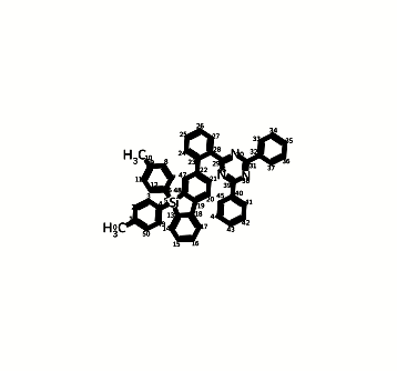 Cc1ccc([Si]2(c3ccc(C)cc3)c3ccccc3-c3ccc(-c4ccccc4-c4nc(-c5ccccc5)nc(-c5ccccc5)n4)cc32)cc1